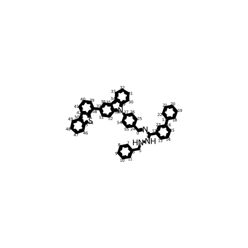 C(=N\C(NNCc1ccccc1)c1cccc(-c2ccccc2)c1)/c1ccc(-n2c3ccccc3c3cc(-c4cccc5c4sc4ccccc45)ccc32)cc1